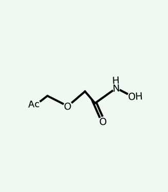 CC(=O)COCC(=O)NO